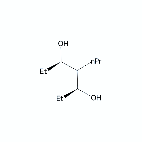 CCCC([C@H](O)CC)[C@@H](O)CC